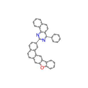 c1ccc(-c2nc(-c3ccc4ccc5cc6oc7ccccc7c6cc5c4c3)nc3c2ccc2ccccc23)cc1